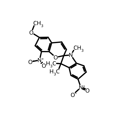 COc1cc2c(c([N+](=O)[O-])c1)OC1(C=C2)N(C)c2ccc([N+](=O)[O-])cc2C1(C)C